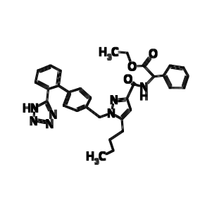 CCCCc1cc(C(=O)NC(C(=O)OCC)c2ccccc2)nn1Cc1ccc(-c2ccccc2-c2nnn[nH]2)cc1